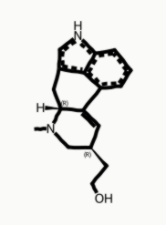 CN1C[C@H](CCO)C=C2c3cccc4[nH]cc(c34)C[C@H]21